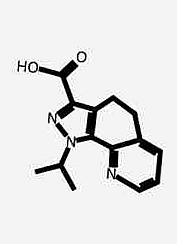 CC(C)n1nc(C(=O)O)c2c1-c1ncccc1CC2